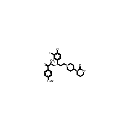 COc1ccc(C(=O)N(C)C[C@@H](CCN2CCC(N3CCCNC3=O)CC2)c2ccc(Cl)c(Cl)c2)cc1